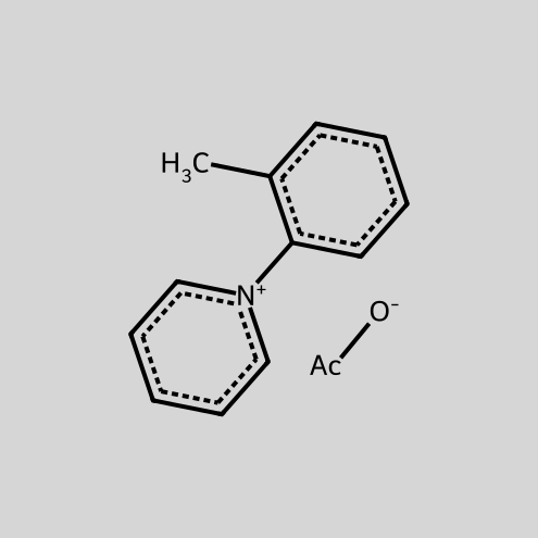 CC(=O)[O-].Cc1ccccc1-[n+]1ccccc1